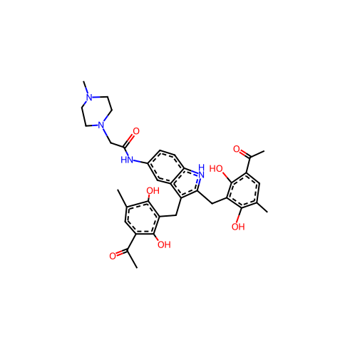 CC(=O)c1cc(C)c(O)c(Cc2[nH]c3ccc(NC(=O)CN4CCN(C)CC4)cc3c2Cc2c(O)c(C)cc(C(C)=O)c2O)c1O